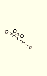 CC1=C(C/C=C(\C)CC/C=C(\C)CC/C=C(\C)CCl)C(OCc2ccccc2)c2ccccc2C1OCc1ccccc1